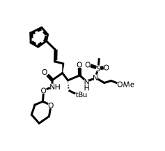 COCCN(NC(=O)[C@H](CC(C)(C)C)[C@H](CC=Cc1ccccc1)C(=O)NOC1CCCCO1)S(C)(=O)=O